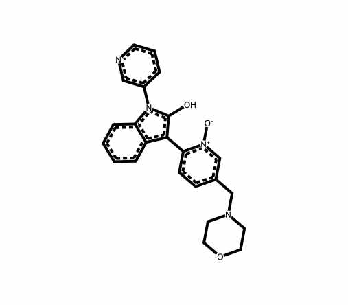 [O-][n+]1cc(CN2CCOCC2)ccc1-c1c(O)n(-c2cccnc2)c2ccccc12